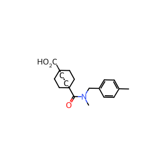 Cc1ccc(CN(C)C(=O)C23CCC(C(=O)O)(CC2)CC3)cc1